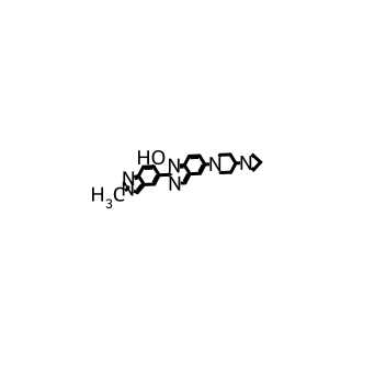 Cn1cc2cc(-c3ncc4cc(N5CCC(N6CCC6)CC5)ccc4n3)c(O)cc2n1